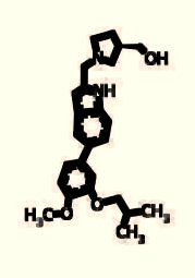 COc1ccc(-c2ccc3[nH]c(CN4CC[C@@H](CO)C4)cc3c2)cc1OCC(C)C